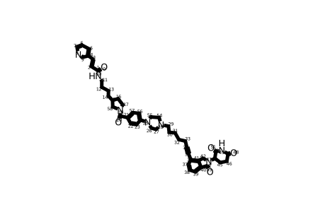 O=C(/C=C/c1cccnc1)NCCCCC1CCN(C(=O)c2ccc(N3CCN(CCCCCC#Cc4cccc5c4CN(C4CCC(=O)NC4=O)C5=O)CC3)cc2)C1